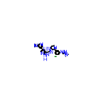 CN(C)CCNc1cc(F)cc(-c2nccc3[nH]c(-c4n[nH]c5ncc(-c6cncc(N(C)C)c6)cc45)nc23)c1